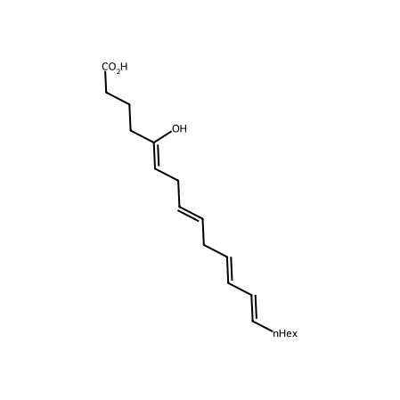 CCCCCCC=CC=CCC=CCC=C(O)CCCC(=O)O